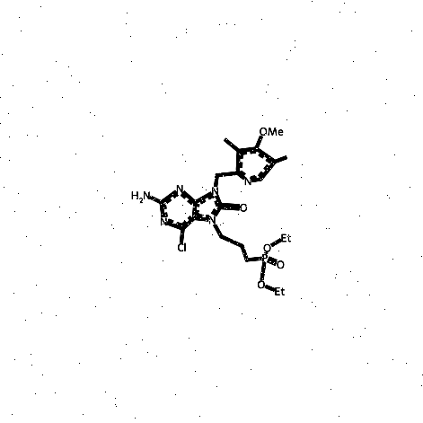 CCOP(=O)(CCCn1c(=O)n(Cc2ncc(C)c(OC)c2C)c2nc(N)nc(Cl)c21)OCC